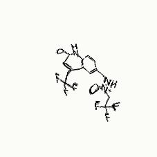 O=c1cc(C(F)(F)F)c2cc(N[N+](=O)CC(F)(F)F)ccc2[nH]1